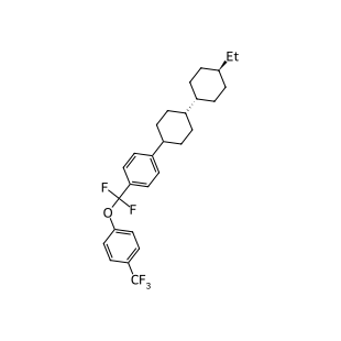 CC[C@H]1CC[C@H](C2CCC(c3ccc(C(F)(F)Oc4ccc(C(F)(F)F)cc4)cc3)CC2)CC1